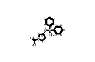 CC(C)(C)[Si](O[C@H]1CCN(C(=O)Cl)C1)(c1ccccc1)c1ccccc1